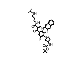 CC(C)NCCCNC(=O)c1cn2c3c(c(N4CCC(NC(=O)OC(C)(C)C)C4)c(F)cc3c1=O)Oc1cc3ccccc3cc1-2